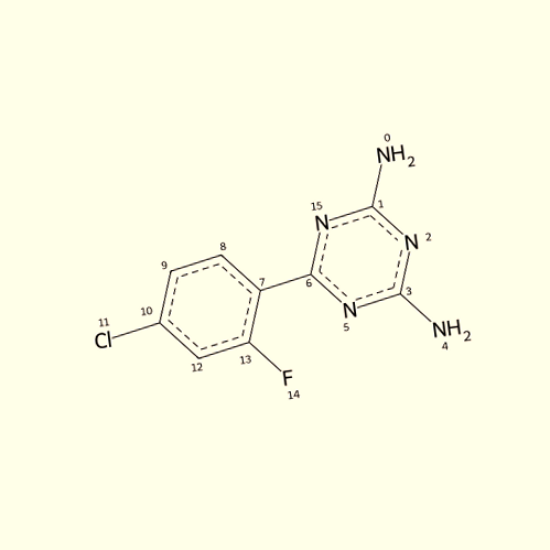 Nc1nc(N)nc(-c2ccc(Cl)cc2F)n1